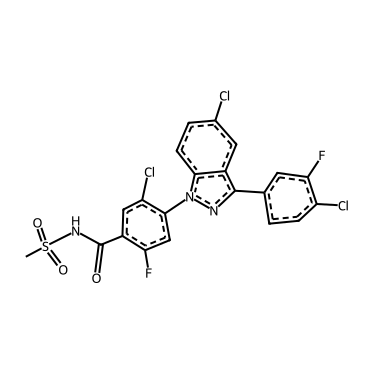 CS(=O)(=O)NC(=O)c1cc(Cl)c(-n2nc(-c3ccc(Cl)c(F)c3)c3cc(Cl)ccc32)cc1F